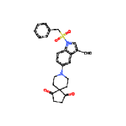 O=Cc1cn(S(=O)(=O)Cc2ccccc2)c2ccc(N3CCC4(CC3)C(=O)CCC4=O)cc12